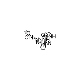 CC(C)(C)OC(=O)N1CC(n2cc(NC(=O)C3(c4cn[nH]c4)NC=CS3)c(-c3ccccn3)n2)C1